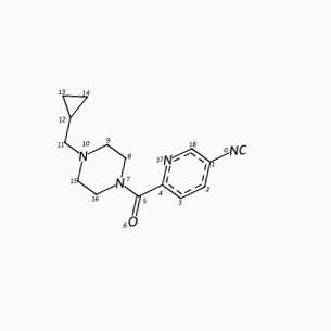 [C-]#[N+]c1ccc(C(=O)N2CCN(CC3CC3)CC2)nc1